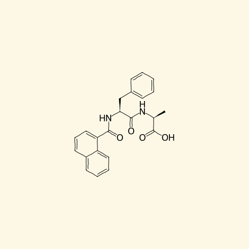 C[C@H](NC(=O)[C@H](Cc1ccccc1)NC(=O)c1cccc2ccccc12)C(=O)O